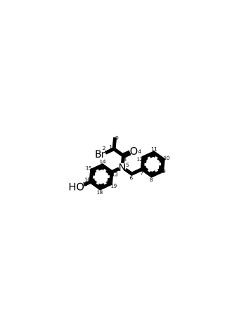 CC(Br)C(=O)N(Cc1ccccc1)c1ccc(O)cc1